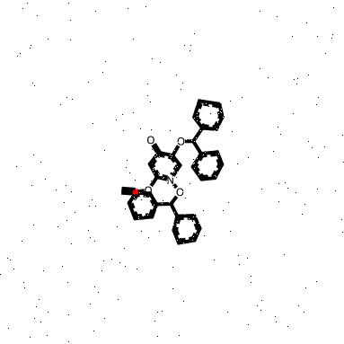 C#COc1cc(=O)c(OC(c2ccccc2)c2ccccc2)cn1OC(c1ccccc1)c1ccccc1